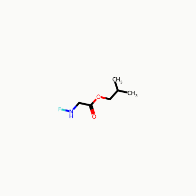 CC(C)COC(=O)CNF